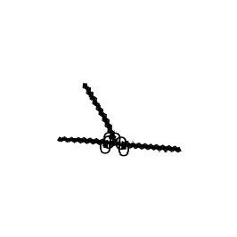 CCCCCCCCCCCCCCCCCCCC(=O)OC[C@H](COC(=O)CCCCCCCCCCCCCCC)OC(=O)CCCCCCCCCCCCCCCCCCC